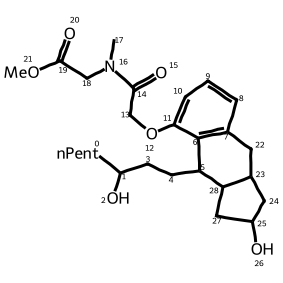 CCCCCC(O)CCC1c2c(cccc2OCC(=O)N(C)CC(=O)OC)CC2CC(O)CC21